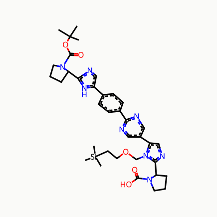 CC(C)(C)OC(=O)N1CCCC1c1ncc(-c2ccc(-c3ncc(-c4cnc(C5CCCN5C(=O)O)n4COCC[Si](C)(C)C)cn3)cc2)[nH]1